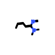 C=N/C(=C\C=C/C)N(C)C